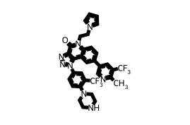 Cc1ncc(-c2ccc3c(c2)c2c(nnn2-c2ccc(N4CCNCC4)c(C(F)(F)F)c2)c(=O)n3CCn2cccc2)cc1C(F)(F)F